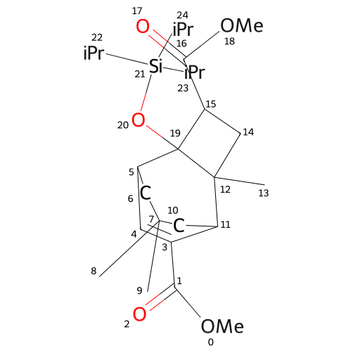 COC(=O)C1=CC2CC(C)(C)CC1C1(C)CC(C(=O)OC)C21O[Si](C(C)C)(C(C)C)C(C)C